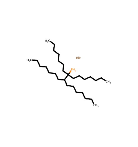 Br.CCCCCCCC(CCCCCCC)C(P)(CCCCCCC)CCCCCCC